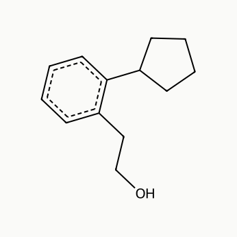 OCCc1ccccc1C1CCCC1